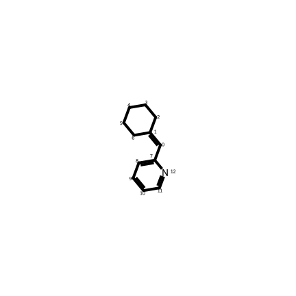 C(=C1CCCCC1)c1ccccn1